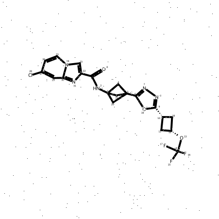 O=C(NC12CC(c3nnc([C@H]4C[C@@H](OC(F)(F)F)C4)o3)(C1)C2)c1cn2ccc(Cl)cc2n1